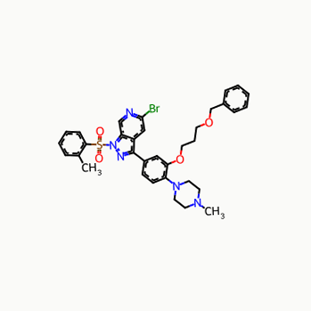 Cc1ccccc1S(=O)(=O)n1nc(-c2ccc(N3CCN(C)CC3)c(OCCCOCc3ccccc3)c2)c2cc(Br)ncc21